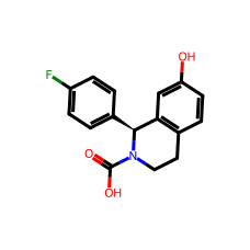 O=C(O)N1CCc2ccc(O)cc2[C@@H]1c1ccc(F)cc1